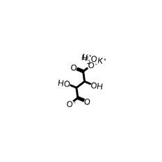 O.O=C([O-])C(O)C(O)C(=O)[O-].[K+].[Li+]